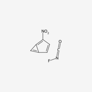 O=C=NF.O=[N+]([O-])c1ccc2cc1-2